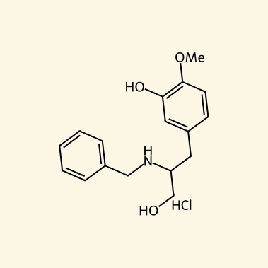 COc1ccc(CC(CO)NCc2ccccc2)cc1O.Cl